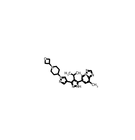 Cc1cc(-c2[nH]nc(-c3cnn(C4CCN(C5COC5)CC4)c3)c2C(C)C)cn2ncnc12